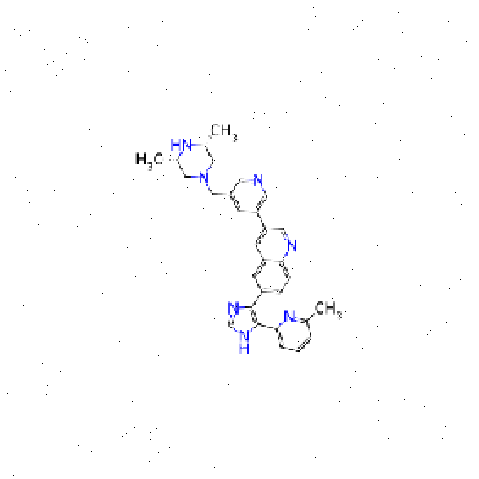 Cc1cccc(-c2[nH]cnc2-c2ccc3ncc(-c4cncc(CN5C[C@@H](C)N[C@@H](C)C5)c4)cc3c2)n1